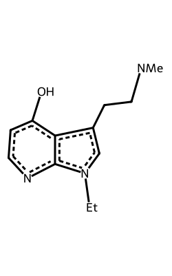 CCn1cc(CCNC)c2c(O)ccnc21